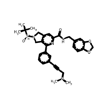 CN(C)CC#Cc1cccc(-c2nc(C(=O)NCc3ccc4c(c3)OCO4)cc3c2CN([S@@+]([O-])C(C)(C)C)C3)c1